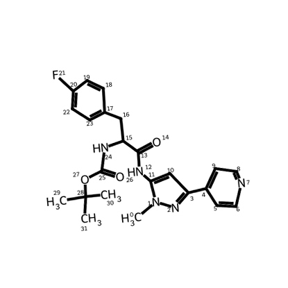 Cn1nc(-c2ccncc2)cc1NC(=O)C(Cc1ccc(F)cc1)NC(=O)OC(C)(C)C